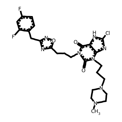 CN1CCN(CCCn2c(=O)n(CCCc3nc(Cc4ccc(F)cc4F)no3)c(=O)c3[nH]c(Cl)nc32)CC1